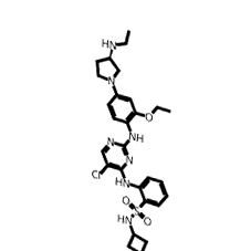 CCN[C@@H]1CCN(c2ccc(Nc3ncc(Cl)c(Nc4ccccc4S(=O)(=O)NC4CCC4)n3)c(OCC)c2)C1